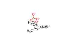 C=O.CC(=O)C=C(C)C.O=S([O-])[O-].[Na+].[Na+]